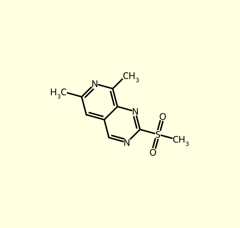 Cc1cc2cnc(S(C)(=O)=O)nc2c(C)n1